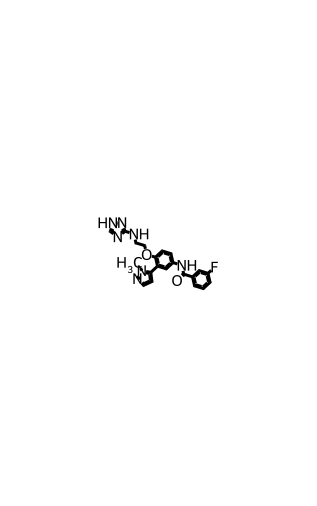 Cn1nccc1-c1cc(NC(=O)c2cccc(F)c2)ccc1OCCNc1nc[nH]n1